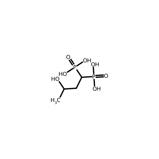 CC(O)CC(P(=O)(O)O)P(=O)(O)O